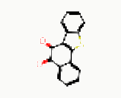 O=C1C(=O)c2c(sc3ccccc23)-c2ccccc21